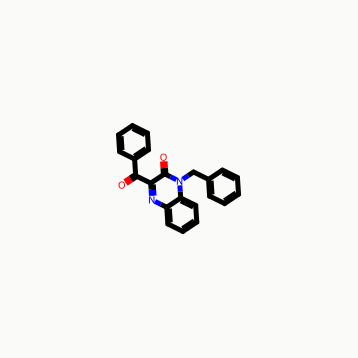 O=C(c1ccccc1)c1nc2ccccc2n(Cc2ccccc2)c1=O